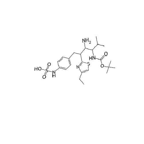 CCc1csc(C(Cc2ccc(NS(=O)(=O)O)cc2)C(N)C(NC(=O)OC(C)(C)C)C(C)C)n1